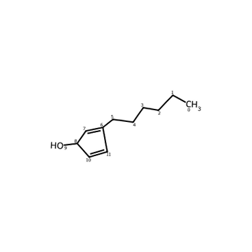 CCCCCCC1=CC(O)C=C1